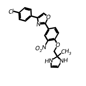 CC1(COc2ccc(-c3nc(-c4ccc(Cl)cc4)co3)cc2[N+](=O)[O-])NC=CN1